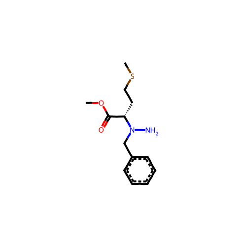 COC(=O)[C@H](CCSC)N(N)Cc1ccccc1